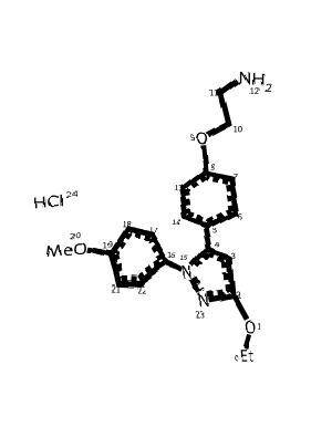 CCOc1cc(-c2ccc(OCCN)cc2)n(-c2ccc(OC)cc2)n1.Cl